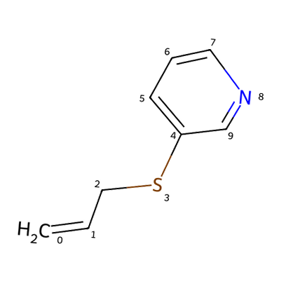 C=CCSc1cccnc1